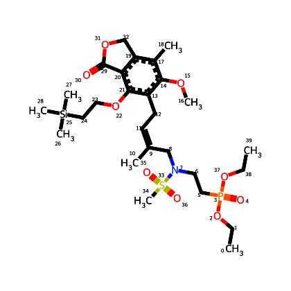 CCOP(=O)(CCN(CC(C)=CCc1c(OC)c(C)c2c(c1OCC[Si](C)(C)C)C(=O)OC2)S(C)(=O)=O)OCC